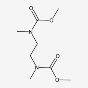 COC(=O)N(C)CCN(C)C(=O)OC